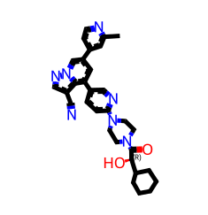 Cc1cc(-c2cc(-c3ccc(N4CCN(C(=O)[C@H](O)C5CCCCC5)CC4)nc3)c3c(C#N)cnn3c2)ccn1